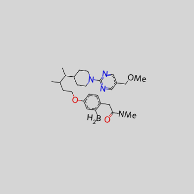 Bc1cc(OCCC(C)C(C)C2CCN(c3ncc(COC)cn3)CC2)ccc1CC(=O)NC